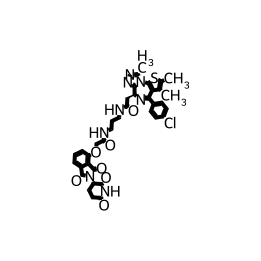 Cc1sc2c(c1C)C(c1ccc(Cl)cc1)=N[C@@H](CC(=O)NCCCNC(=O)COc1cccc3c1C(=O)N(C1CCC(=O)NC1=O)C3=O)c1nnc(C)n1-2